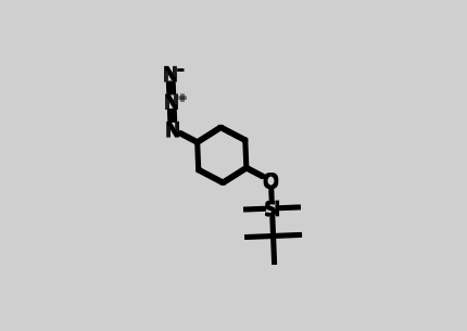 CC(C)(C)[Si](C)(C)OC1CCC(N=[N+]=[N-])CC1